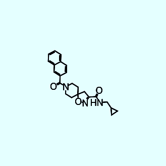 O=C(NCC1CC1)C1=NOC2(CCN(C(=O)c3ccc4ccccc4c3)CC2)C1